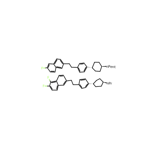 CCCCC[C@H]1CC[C@H](c2ccc(CCc3ccc4cc(F)ccc4c3)cc2)CC1.CCC[C@H]1CC[C@H](c2ccc(CCc3ccc4c(F)c(F)ccc4c3)cc2)CC1